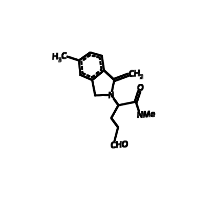 C=C1c2ccc(C)cc2CN1C(CCC=O)C(=O)NC